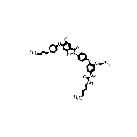 CCCCCNC(=O)Nc1ccc(Oc2ccc(NC(=O)c3cc(F)c(OC4CCN(CCCC)CC4)cc3F)cc2)c(OCC)c1